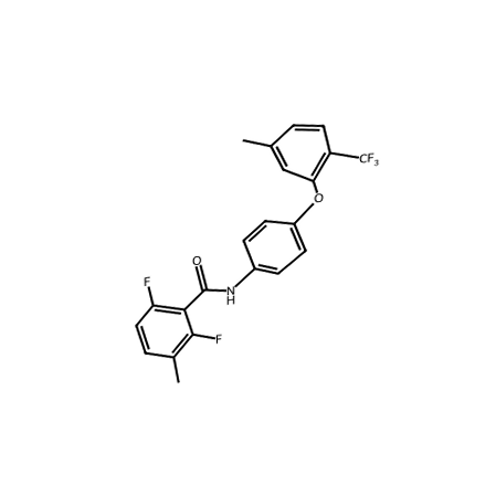 Cc1ccc(C(F)(F)F)c(Oc2ccc(NC(=O)c3c(F)ccc(C)c3F)cc2)c1